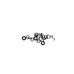 COC=C(C(=O)OC)c1ccccc1COc1cc(O)cc(OCCOc2ccccc2)c1